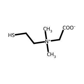 C[N+](C)(CCS)CC(=O)[O-]